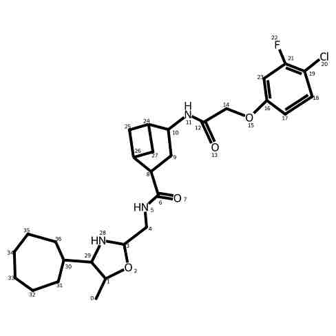 CC1OC(CNC(=O)C2CC(NC(=O)COc3ccc(Cl)c(F)c3)C3CC2C3)NC1C1CCCCCC1